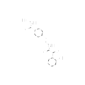 O=C(NCCc1ccc(C(=O)NO)cc1)C(=O)c1ccccc1Cl